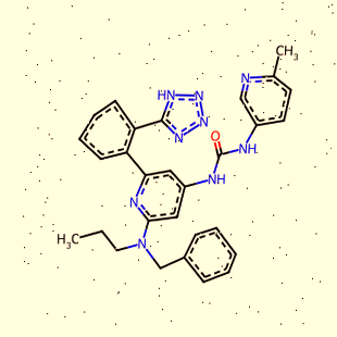 CCCN(Cc1ccccc1)c1cc(NC(=O)Nc2ccc(C)nc2)cc(-c2ccccc2-c2nnn[nH]2)n1